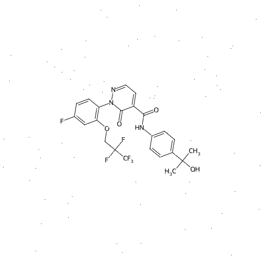 CC(C)(O)c1ccc(NC(=O)c2ccnn(-c3ccc(F)cc3OCC(F)(F)C(F)(F)F)c2=O)cc1